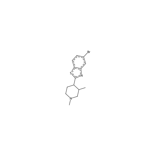 CC1CN(C)CCC1c1nc2cc(Br)ccc2s1